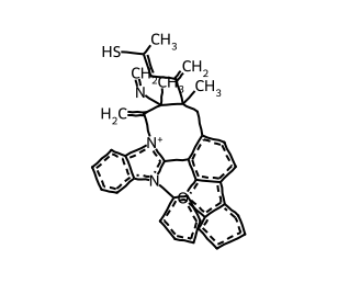 C=NC1(C)C(=C)[n+]2c(n(-c3ccccc3)c3ccccc32)-c2c(ccc3c2oc2ccccc23)CC1(C)C(=C)/C=C(\C)S